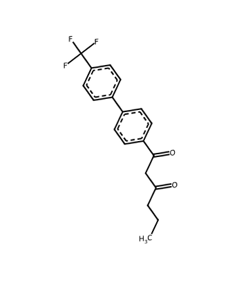 CCCC(=O)CC(=O)c1ccc(-c2ccc(C(F)(F)F)cc2)cc1